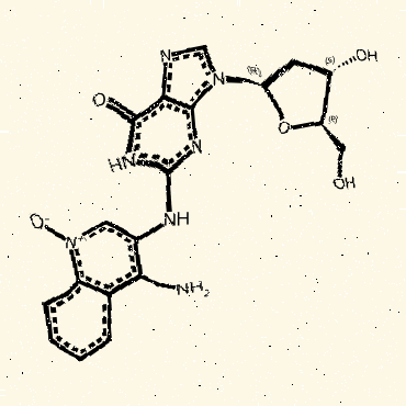 Nc1c(Nc2nc3c(ncn3[C@H]3C[C@H](O)[C@@H](CO)O3)c(=O)[nH]2)c[n+]([O-])c2ccccc12